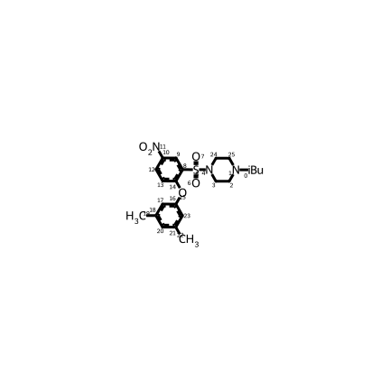 CCC(C)N1CCN(S(=O)(=O)c2cc([N+](=O)[O-])ccc2Oc2cc(C)cc(C)c2)CC1